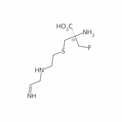 N=CCNCCSC[C@@](N)(CF)C(=O)O